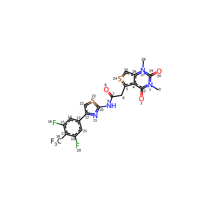 Cn1c(=O)c2c(CC(=O)Nc3nc(-c4cc(F)c(C(F)(F)F)c(F)c4)cs3)scc2n(C)c1=O